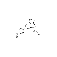 CCOC(=O)c1oc2ncccc2c1NC(=O)c1ccc(N=O)cc1